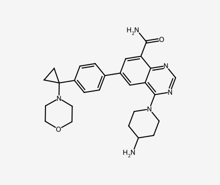 NC(=O)c1cc(-c2ccc(C3(N4CCOCC4)CC3)cc2)cc2c(N3CCC(N)CC3)ncnc12